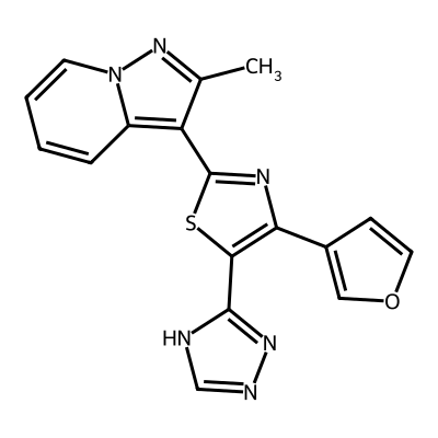 Cc1nn2ccccc2c1-c1nc(-c2ccoc2)c(-c2nnc[nH]2)s1